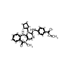 COC(=O)c1ccc(NC2N=CC3=C(Nc4ccccc4C(=O)N3C)N2C2CCCC2)cc1